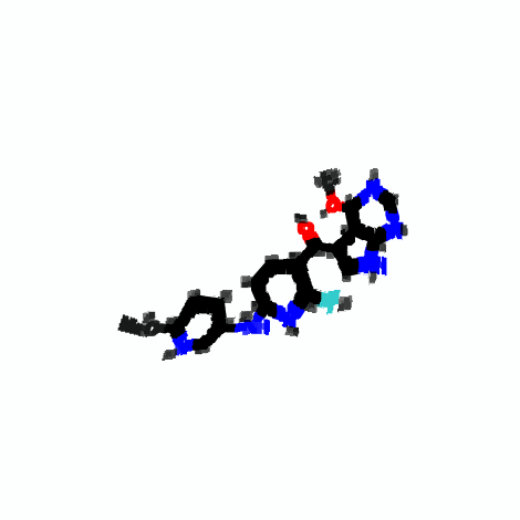 CCOc1ncnc2[nH]cc(C(=O)c3ccc(Nc4ccc(OC)nc4)nc3F)c12